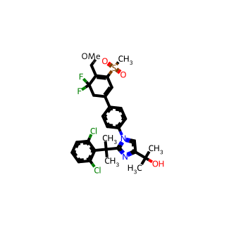 [CH2]OCC1=C(S(C)(=O)=O)C=C(c2ccc(-n3cc(C(C)(C)O)nc3C(C)(C)c3c(Cl)cccc3Cl)cc2)CC1(F)F